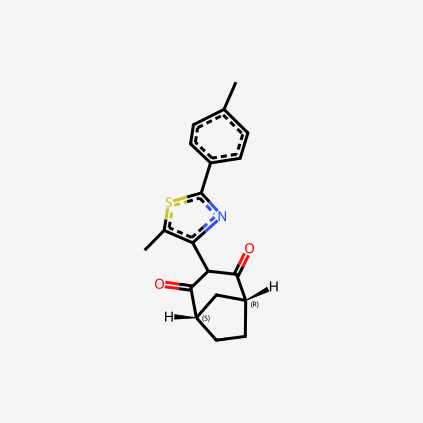 Cc1ccc(-c2nc(C3C(=O)[C@@H]4CC[C@@H](C4)C3=O)c(C)s2)cc1